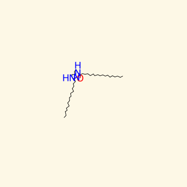 CCCCCCCCCCCCCCCCCC(=O)NC1(CC)CNC(CCCCCCCCCCCCCCCC)=N1